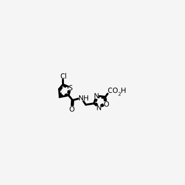 O=C(O)c1nc(CNC(=O)c2ccc(Cl)s2)no1